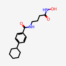 O=C(CCCNC(=O)c1ccc(C2CCCCC2)cc1)NO